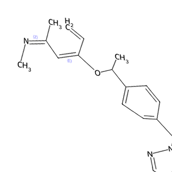 C=C/C(=C\C(C)=N/C)OC(C)c1ccc(Cn2cccn2)cc1